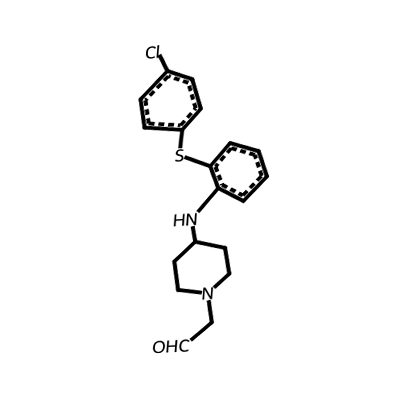 O=CCN1CCC(Nc2ccccc2Sc2ccc(Cl)cc2)CC1